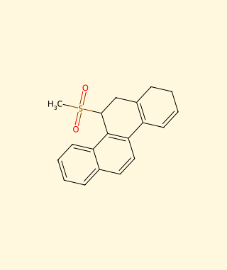 CS(=O)(=O)C1CC2=C(C=CCC2)c2ccc3ccccc3c21